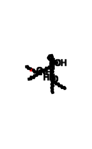 CCCCCCCCC(CCCCCC)CC(=O)NCCCCCN(CCCCCNC(=O)CC(CCCCCC)CCCCCCCC)CCN(CCO)C1CCCCC1